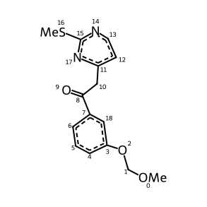 COCOc1cccc(C(=O)Cc2ccnc(SC)n2)c1